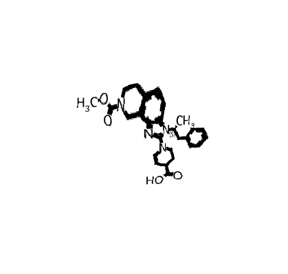 COC(=O)N1CCc2ccc3c(nc(N4CCC(C(=O)O)CC4)n3[C@@H](C)Cc3ccccc3)c2C1